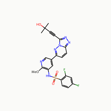 COc1ncc(-c2ccc3nnc(C#CC(C)(C)O)n3n2)cc1NS(=O)(=O)c1ccc(F)cc1F